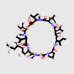 CCC(C)C1NC(=O)C2CCCN2C(=O)CN(C)C(=O)C(C[C@H](C)C[C@H](C)C[C@H](C)CC)NC(=O)C(C(C)C)N(C)C(=O)C(C(C)CC)OC(=O)C(C(C)C)N(C)C(=O)C(CC(C)C)NC(=O)C(C(C)C)C(C)C1=O